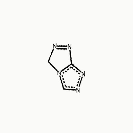 c1nnc2n1CN=N2